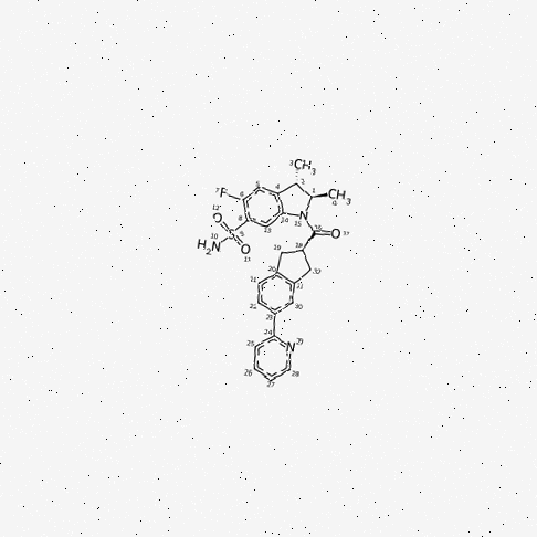 C[C@@H]1[C@@H](C)c2cc(F)c(S(N)(=O)=O)cc2N1C(=O)[C@@H]1Cc2ccc(-c3ccccn3)cc2C1